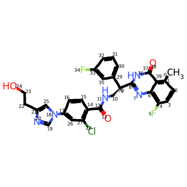 Cc1ccc(F)c2nc([C@@H](CNC(=O)c3ccc(-n4cnc(CCO)c4)cc3Cl)c3cccc(F)c3)[nH]c(=O)c12